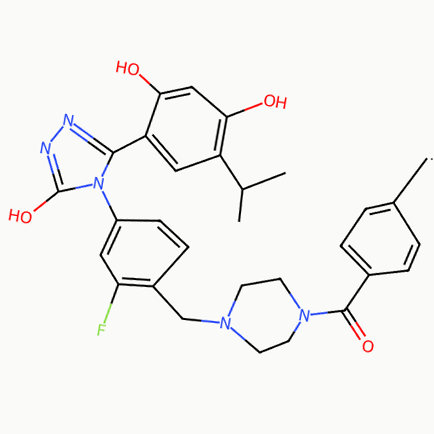 [CH2]c1ccc(C(=O)N2CCN(Cc3ccc(-n4c(O)nnc4-c4cc(C(C)C)c(O)cc4O)cc3F)CC2)cc1